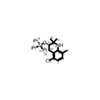 Cc1ccc(Cl)c2c1NC(C)(C)[C@H](O[Si](C(C)C)(C(C)C)C(C)C)[C@H]2C